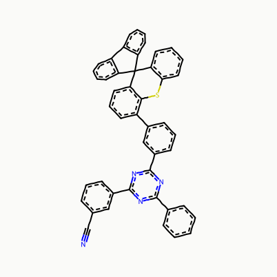 N#Cc1cccc(-c2nc(-c3ccccc3)nc(-c3cccc(-c4cccc5c4Sc4ccccc4C54c5ccccc5-c5ccccc54)c3)n2)c1